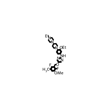 CCOc1cc(Nc2ncc(OCc3c(F)c(C)cc(OC)c3F)cn2)ccc1N1CCC(N2CCN(CC)CC2)CC1